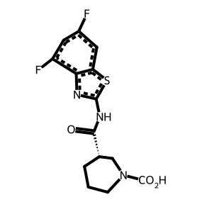 O=C(Nc1nc2c(F)cc(F)cc2s1)[C@H]1CCCN(C(=O)O)C1